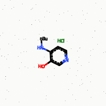 CCCCNc1ccncc1O.Cl